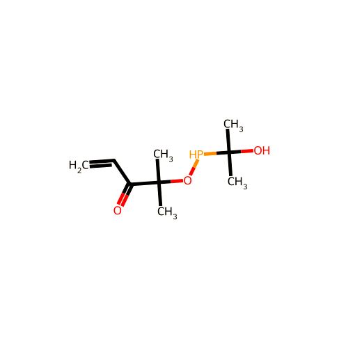 C=CC(=O)C(C)(C)OPC(C)(C)O